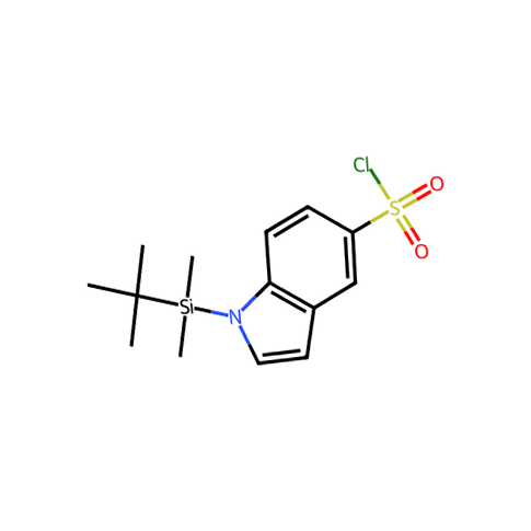 CC(C)(C)[Si](C)(C)n1ccc2cc(S(=O)(=O)Cl)ccc21